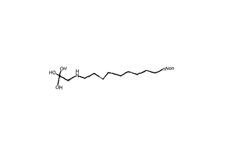 CCCCCCCCCCCCCCCCCCNCC(O)(O)O